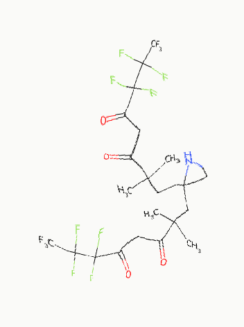 CC(C)(CC1(CC(C)(C)C(=O)CC(=O)C(F)(F)C(F)(F)C(F)(F)F)CN1)C(=O)CC(=O)C(F)(F)C(F)(F)C(F)(F)F